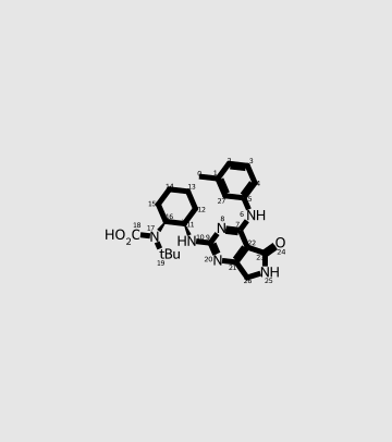 Cc1cccc(Nc2nc(N[C@@H]3CCCC[C@@H]3N(C(=O)O)C(C)(C)C)nc3c2C(=O)NC3)c1